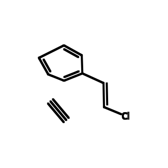 C#C.ClC=Cc1ccccc1